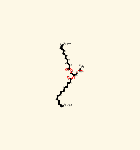 CCCCC/C=C\C/C=C\CCCCCCCC(=O)OC(COC(=O)CCC)COC(=O)CCCCCCC/C=C\CCCCCCCC